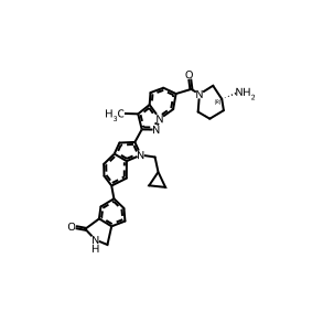 Cc1c(-c2cc3ccc(-c4ccc5c(c4)C(=O)NC5)cc3n2CC2CC2)nn2cc(C(=O)N3CCC[C@@H](N)C3)ccc12